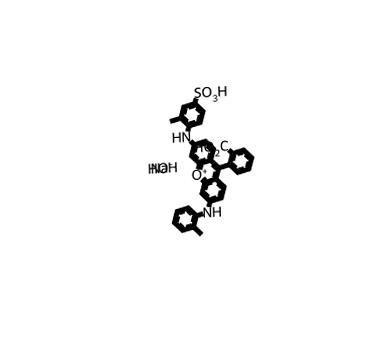 Cc1ccccc1Nc1ccc2c(-c3ccccc3C(=O)O)c3ccc(Nc4ccc(S(=O)(=O)O)cc4C)cc3[o+]c2c1.[NaH].[OH-]